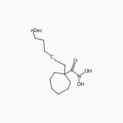 CCCCCCCCCCCCCCCCC1(C(=O)N(O)O)CCCCCC1